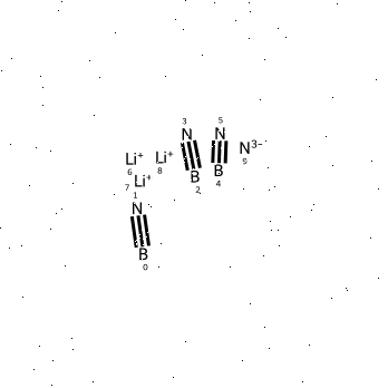 B#N.B#N.B#N.[Li+].[Li+].[Li+].[N-3]